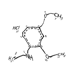 CNc1ccc(OC)cc1OC.Cl